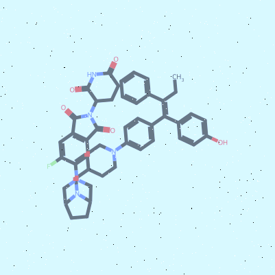 CCC(=C(c1ccc(O)cc1)c1ccc(N2CCC(CN3C4CCC3CN(c3cc5c(cc3F)C(=O)N(C3CCC(=O)NC3=O)C5=O)C4)CC2)cc1)c1ccccc1